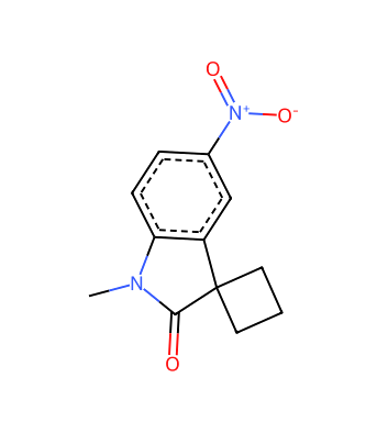 CN1C(=O)C2(CCC2)c2cc([N+](=O)[O-])ccc21